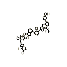 COc1nc(O[C@H]2CCc3c(-c4cccc(-c5cc6cc7c(c(C(F)(F)F)c6o5)CC[C@H]7N5CC[C@@H](O)C5)c4Cl)cccc32)c(Cl)cc1CN1CC2(CCC(=O)N2)C1